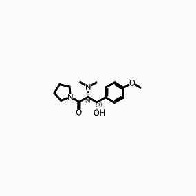 COc1ccc([C@H](O)[C@H](C(=O)N2CCCC2)N(C)C)cc1